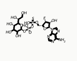 Nc1ncnc2c1ncn2[C@@H]1O[C@H](COP(O)(=S)OP(=O)(O)O[C@@H]2OC([C@H](O)CO)[C@@H](O)C(O)C2O)[C@H](F)[C@@H]1O